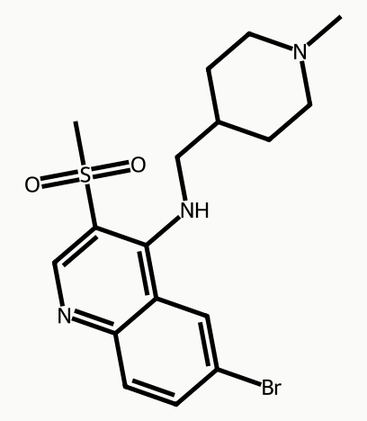 CN1CCC(CNc2c(S(C)(=O)=O)cnc3ccc(Br)cc23)CC1